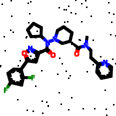 CN(CCc1ccccn1)C(=O)[C@@H]1CCCN(N(C(=O)c2cc(-c3ccc(F)cc3F)on2)C2CCCC2)C1